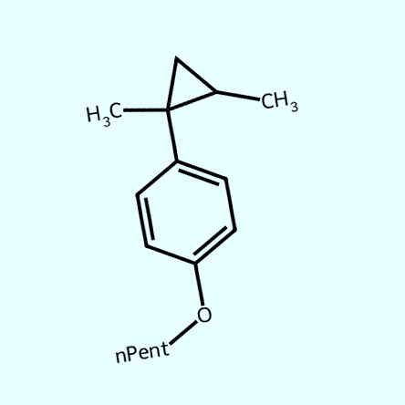 CCCCCOc1ccc(C2(C)CC2C)cc1